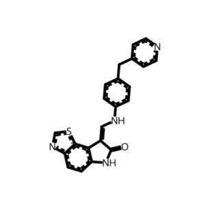 O=C1Nc2ccc3ncsc3c2C1=CNc1ccc(Cc2ccncc2)cc1